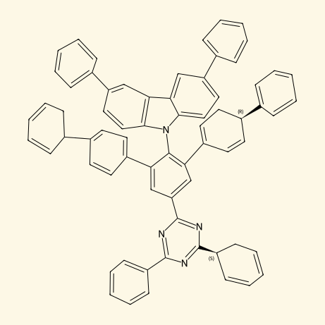 C1=CCC(c2ccc(-c3cc(-c4nc(-c5ccccc5)nc([C@@H]5C=CC=CC5)n4)cc(C4=CC[C@@H](c5ccccc5)C=C4)c3-n3c4ccc(-c5ccccc5)cc4c4cc(-c5ccccc5)ccc43)cc2)C=C1